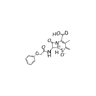 C=C1C(C)=C(C(=O)O)N2C(=O)C(NC(=O)COc3ccccc3)[C@@H]2[S+]1[O-]